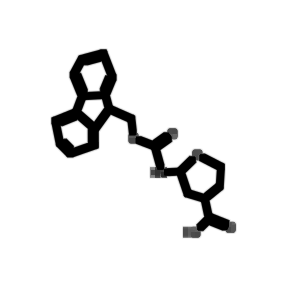 O=C(NC1CC(C(=O)O)CCO1)OCC1c2ccccc2-c2ccccc21